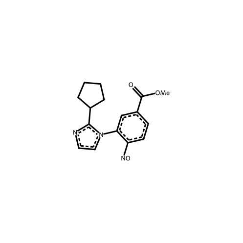 COC(=O)c1ccc(N=O)c(-n2ccnc2C2CCCC2)c1